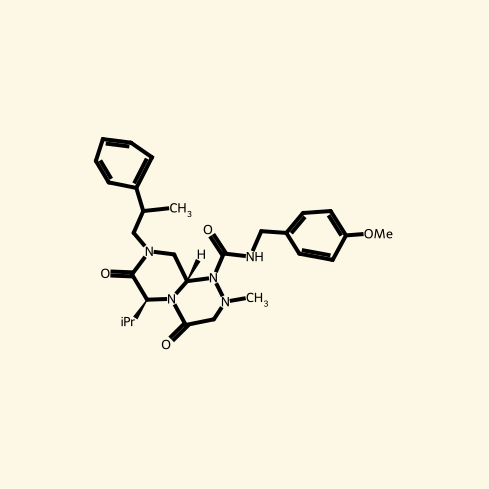 COc1ccc(CNC(=O)N2[C@H]3CN(CC(C)c4ccccc4)C(=O)[C@H](C(C)C)N3C(=O)CN2C)cc1